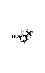 CC(C)(C)C1=CC=NC(O)N1